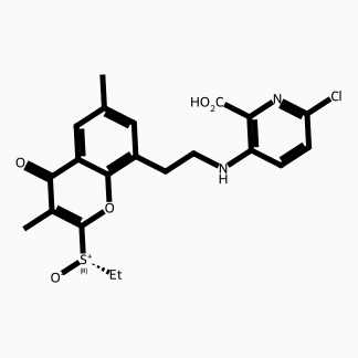 CC[S@+]([O-])c1oc2c(CCNc3ccc(Cl)nc3C(=O)O)cc(C)cc2c(=O)c1C